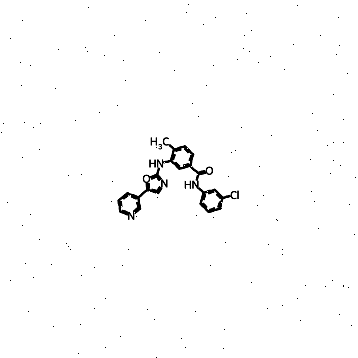 Cc1ccc(C(=O)Nc2cccc(Cl)c2)cc1Nc1ncc(-c2cccnc2)o1